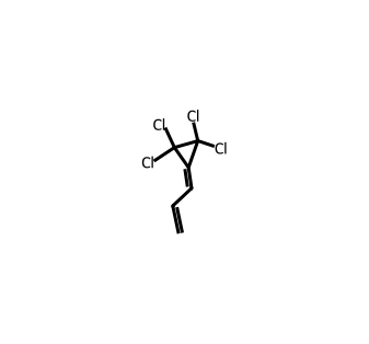 C=CC=C1C(Cl)(Cl)C1(Cl)Cl